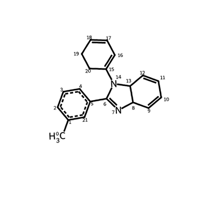 Cc1cccc(C2=NC3C=CC=CC3N2C2=CC=CCC2)c1